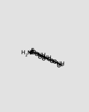 CCCC(=O)NCCCOCCOCCOCCCNC(=O)CCCC(=O)NCCOCCOc1ccc(N)cc1F